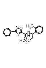 Cc1ccccc1C(CC(=O)O)NC(=O)c1nc(-c2ccccc2)no1